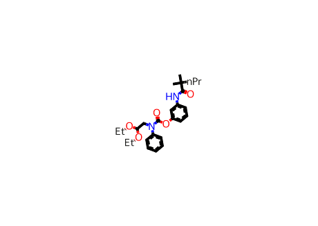 CCCC(C)(C)C(=O)Nc1cccc(OC(=O)N(CC(OCC)OCC)c2ccccc2)c1